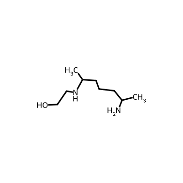 CC(N)CCCC(C)NCCO